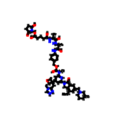 CCN(C(=O)OCc1ccc(NC(=O)[C@H](C)NC(=O)[C@@H](NC(=O)CCCC(=O)ON2C(=O)CCC2=O)C(C)C)cc1)c1cc(C2(Cc3nncn3C)COC2)cc(N2Cc3c(SC)cc(CN4CCC[C@H](C)C4)cc3C2=O)n1